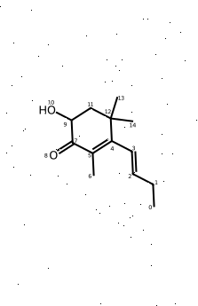 CC/C=C/C1=C(C)C(=O)C(O)CC1(C)C